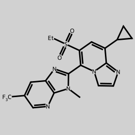 CCS(=O)(=O)c1cc(C2CC2)c2nccn2c1-c1nc2cc(C(F)(F)F)cnc2n1C